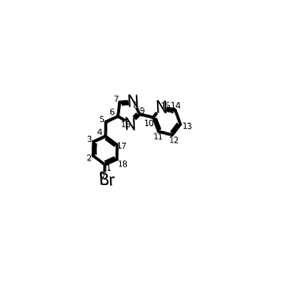 Brc1ccc(CC2C=NC(c3ccccn3)=N2)cc1